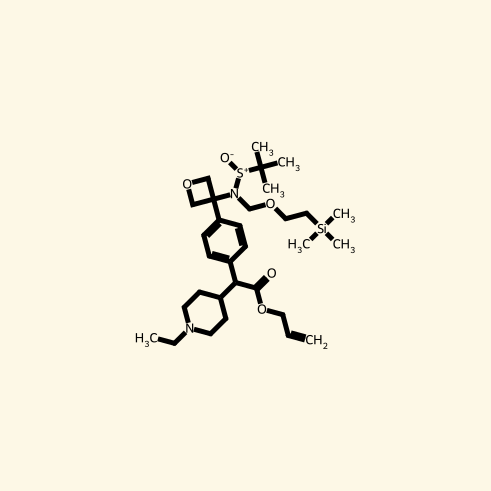 C=CCOC(=O)C(c1ccc(C2(N(COCC[Si](C)(C)C)[S+]([O-])C(C)(C)C)COC2)cc1)C1CCN(CC)CC1